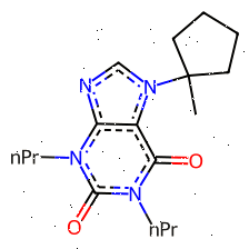 CCCn1c(=O)c2c(ncn2C2(C)CCCC2)n(CCC)c1=O